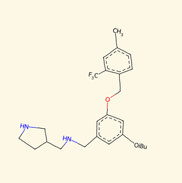 Cc1ccc(COc2cc(CNCC3CCNC3)cc(OCC(C)C)c2)c(C(F)(F)F)c1